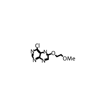 COCCOc1cnc2ncnc(Cl)c2n1